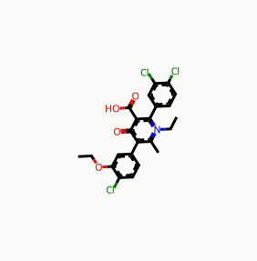 CCOc1cc(-c2c(C)n(CC)c(-c3ccc(Cl)c(Cl)c3)c(C(=O)O)c2=O)ccc1Cl